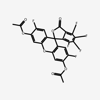 CC(=O)Oc1cc2c(cc1F)C1(OC(=O)c3c(F)c(F)c(F)c(F)c31)c1cc(F)c(OC(C)=O)cc1O2